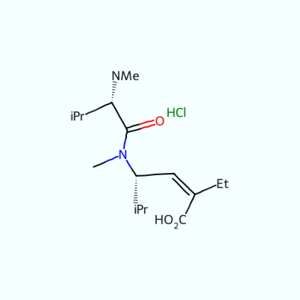 CCC(=C[C@H](C(C)C)N(C)C(=O)[C@@H](NC)C(C)C)C(=O)O.Cl